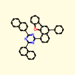 c1ccc(-c2cc3c4ccccc4oc3c3c(-c4nc(-c5ccc6ccccc6c5)nc(-c5cccc6ccccc56)n4)cccc23)cc1